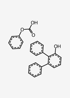 O=C(O)Oc1ccccc1.Oc1cccc(-c2ccccc2)c1-c1ccccc1